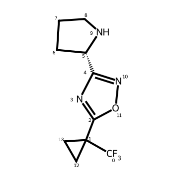 FC(F)(F)C1(c2nc([C@@H]3CCCN3)no2)CC1